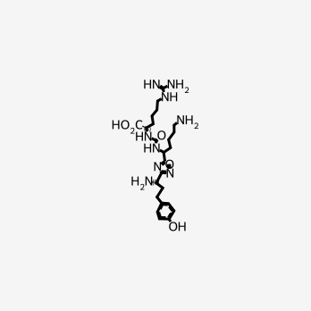 N=C(N)NCCCC[C@H](NC(=O)NC(CCCCN)c1nc([C@@H](N)CCc2ccc(O)cc2)no1)C(=O)O